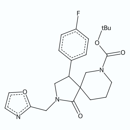 CC(C)(C)OC(=O)N1CCCC2(C1)C(=O)N(Cc1ncco1)CC2c1ccc(F)cc1